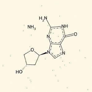 N.Nc1nc2c(ncn2[C@H]2C[C@H](O)CO2)c(=O)[nH]1